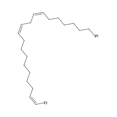 CC/C=C\CCCCCCC/C=C\C/C=C\CCCCCCC(C)C